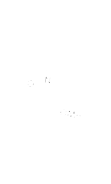 [CH2]Oc1cccc(C(=O)N2CCCC2)c1